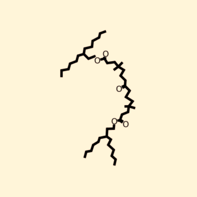 CCCCCCC(CCCCCC)CCOC(=O)CCC(C)(C)CCCC(=O)CCCC(C)(C)CCC(=O)OCCC(CCCCCC)CCCCCC